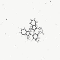 Cc1nccc(-c2[nH]c3ccccc3c2C)c1-c1[nH]c2ccccc2c1C.[Pt+2]